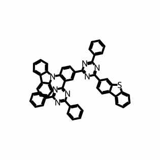 c1ccc(-c2nc(-c3ccc(-n4c5ccccc5c5ccccc54)c(-c4nc(-c5ccccc5)nc(-c5ccccc5)n4)c3)nc(-c3ccc4c(c3)sc3ccccc34)n2)cc1